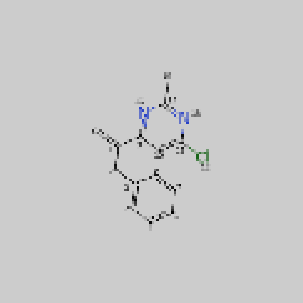 C=C(Cc1ccccc1)c1cc(Cl)nc(C)n1